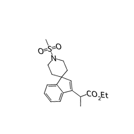 CCOC(=O)C(C)C1=CC2(CCN(S(C)(=O)=O)CC2)c2ccccc21